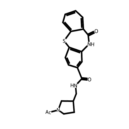 CC(=O)N1CCC(CNC(=O)c2ccc3c(c2)NC(=O)c2ccccc2S3)C1